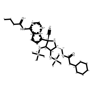 CCCC(=O)Nc1ncnn2c([C@]3(C#N)O[C@H](COC(=O)CC4CCCCC4)C(O[Si](C)(C)C)C3O[Si](C)(C)C)ccc12